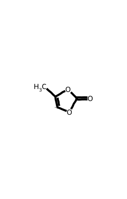 Cc1[c]oc(=O)o1